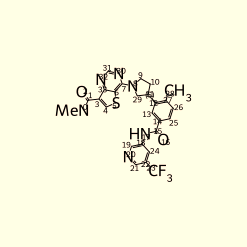 CNC(=O)c1csc2c(N3CC[C@@H](c4cc(C(=O)Nc5cncc(C(F)(F)F)c5)ccc4C)C3)ncnc12